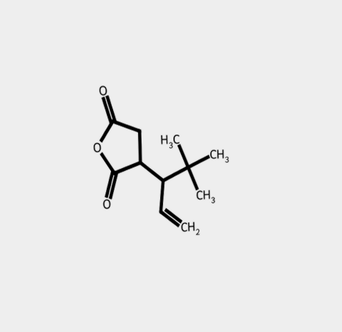 C=CC(C1CC(=O)OC1=O)C(C)(C)C